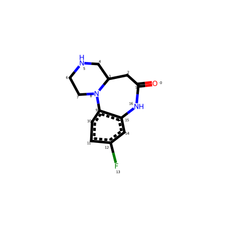 O=C1CC2CNCCN2c2ccc(F)cc2N1